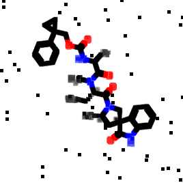 CC(C)C(NC(=O)OCC1(c2ccccc2)CC1)C(=O)N(C)[C@@H](CC(C)(C)C)C(=O)N1C[C@]2(C[C@H]1C#N)C(=O)Nc1ccccc12